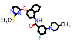 CSc1nccc(Oc2ccc(NC(=O)c3cc(F)cc(N4CCC(C)CC4)c3)c3ccccc23)n1